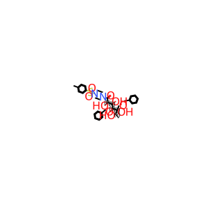 Cc1ccc(S(=O)(=O)N2CCN(C(=O)[C@H](O)[C@@H](O)[C@H](OCc3ccccc3)[C@@](O)(COCc3ccccc3)[C@@H](C)O)CC2)cc1